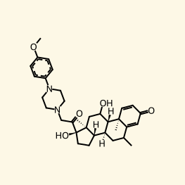 COc1ccc(N2CCN(CC(=O)[C@@]3(O)CC[C@H]4[C@@H]5CC(C)C6=CC(=O)C=C[C@]6(C)[C@H]5C(O)C[C@@]43C)CC2)cc1